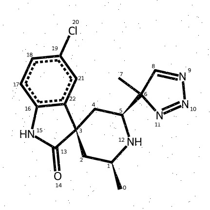 C[C@H]1C[C@@]2(C[C@@H](C3(C)C=NN=N3)N1)C(=O)Nc1ccc(Cl)cc12